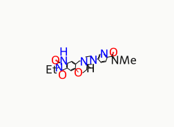 CCn1c(=O)[nH]c2cc3c(cc2c1=O)OCC[C@H]1CN(c2ccc(C(=O)NC)nc2)CCN1C3